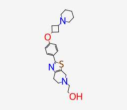 OCCN1CCc2nc(-c3ccc(OC4CC(N5CCCCC5)C4)cc3)sc2C1